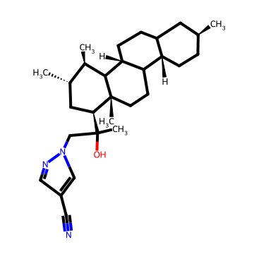 C[C@H]1CC[C@H]2C(CC[C@@H]3C2CC[C@@]2(C)C3[C@H](C)[C@@H](C)C[C@@H]2C(C)(O)Cn2cc(C#N)cn2)C1